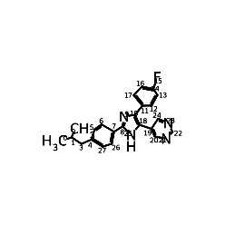 CC(C)Cc1ccc(-c2nc(-c3ccc(F)cc3)c(-c3cncnc3)[nH]2)cc1